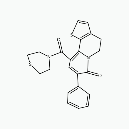 O=C(c1cc(-c2ccccc2)c(=O)n2c1-c1sccc1CC2)N1CCSCC1